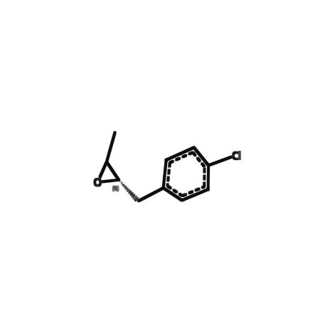 CC1O[C@H]1Cc1ccc(Cl)cc1